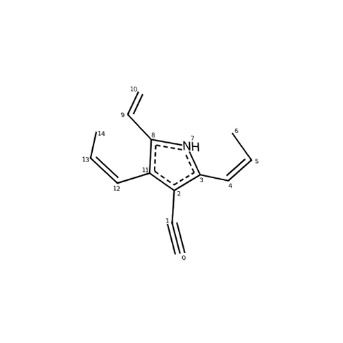 C#Cc1c(/C=C\C)[nH]c(C=C)c1/C=C\C